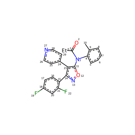 CCC(=O)N(c1ccccc1C)c1onc(-c2ccc(F)cc2F)c1-c1ccncc1